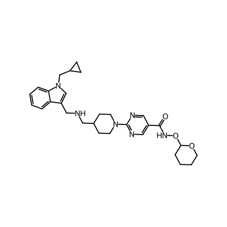 O=C(NOC1CCCCO1)c1cnc(N2CCC(CNCc3cn(CC4CC4)c4ccccc34)CC2)nc1